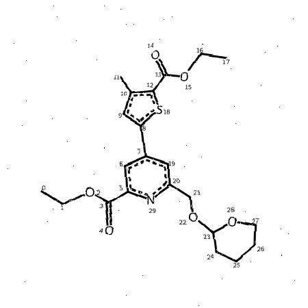 CCOC(=O)c1cc(-c2cc(C)c(C(=O)OCC)s2)cc(COC2CCCCO2)n1